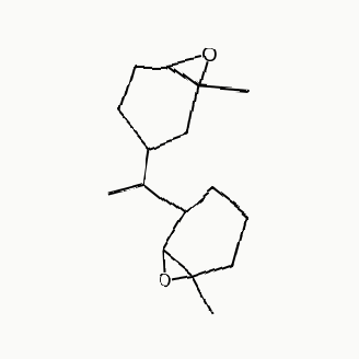 CC(C1CCC2OC2(C)C1)C1CCCC2(C)OC12